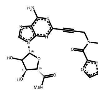 CNC(=O)[C@H]1O[C@@H](n2cnc3c(N)nc(C#CCN(C)C(=O)c4ncco4)nc32)C(O)[C@@H]1O